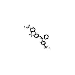 CC1(C)c2ccc(CC3(C)c4ccccc4-c4cc(N)ccc43)cc2-c2ccc(N)cc21